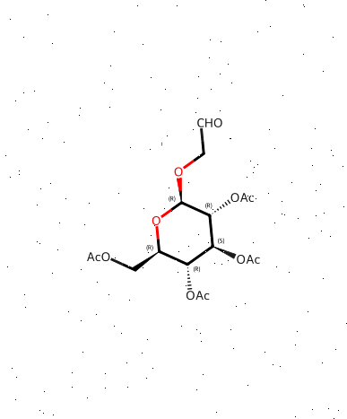 CC(=O)OC[C@H]1O[C@@H](OCC=O)[C@H](OC(C)=O)[C@@H](OC(C)=O)[C@@H]1OC(C)=O